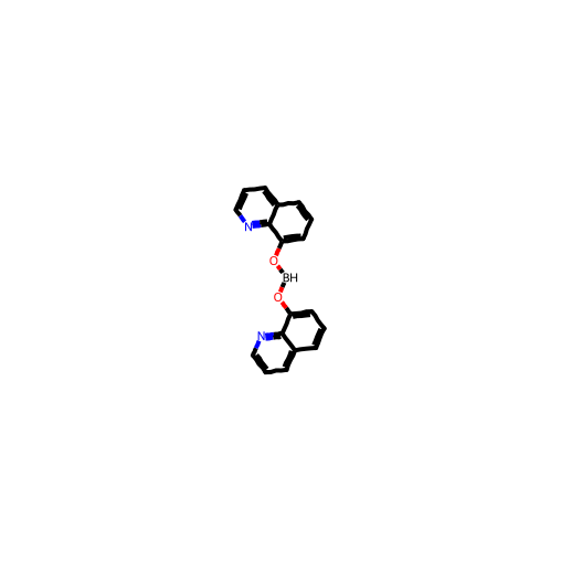 B(Oc1cccc2cccnc12)Oc1cccc2cccnc12